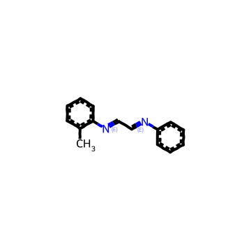 Cc1ccccc1/N=C/C=N/c1ccccc1